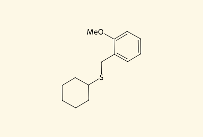 COc1ccccc1CSC1CCCCC1